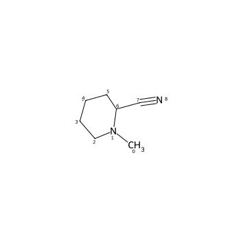 CN1CC[CH]CC1C#N